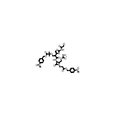 CC(C)(ON=C(C(=O)NC1C(=O)N(OCC(=O)OCc2ccc([N+](=O)[O-])cc2)C1COC(N)=O)c1csc(NC(=O)CCl)n1)C(=O)OCc1ccc([N+](=O)[O-])cc1